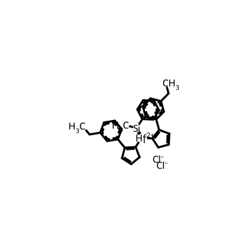 CCc1cccc(C2=[C]([Hf+2]([C]3=C(c4cccc(CC)c4)C=CC3)=[Si](C)c3ccccc3)CC=C2)c1.[Cl-].[Cl-]